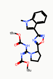 Cn1cc(-c2noc(C3CCCN3C(=NC(=O)OC(C)(C)C)NC(=O)OC(C)(C)C)n2)c2ccccc21